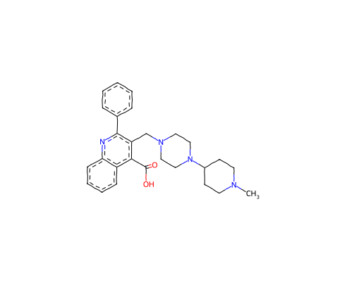 CN1CCC(N2CCN(Cc3c(-c4ccccc4)nc4ccccc4c3C(=O)O)CC2)CC1